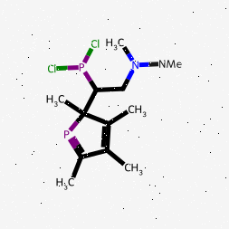 CNN(C)CC(P(Cl)Cl)C1(C)P=C(C)C(C)=C1C